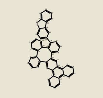 c1ccc2c(c1)-c1cc3c4ccccc4c4ccccc4c3cc1-c1cccc(-c3ccc4oc5ccccc5c4c3)c1-c1ccccc1-2